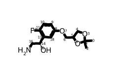 CC1(C)OCC(COc2ccc(F)c([C@H](O)CN)c2)O1